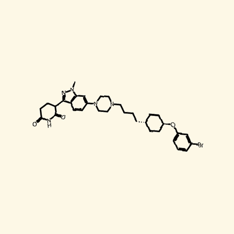 Cn1nc(C2CCC(=O)NC2=O)c2ccc(N3CCN(CCCC[C@H]4CC[C@H](Oc5cccc(Br)c5)CC4)CC3)cc21